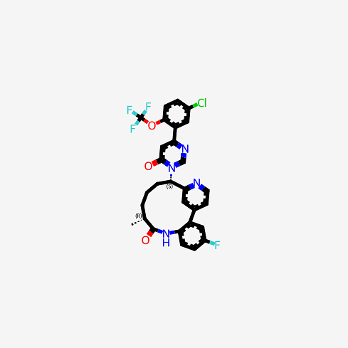 C[C@@H]1CCC[C@H](n2cnc(-c3cc(Cl)ccc3OC(F)(F)F)cc2=O)c2cc(ccn2)-c2cc(F)ccc2NC1=O